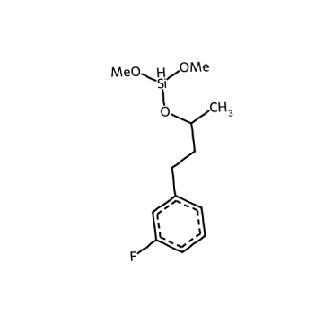 CO[SiH](OC)OC(C)CCc1cccc(F)c1